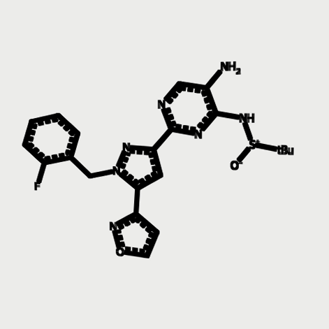 CC(C)(C)[S+]([O-])Nc1nc(-c2cc(-c3ccon3)n(Cc3ccccc3F)n2)ncc1N